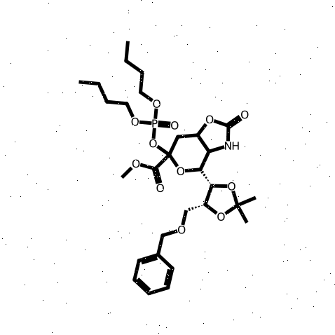 CCCCOP(=O)(OCCCC)OC1(C(=O)OC)CC2OC(=O)NC2C([C@@H]2OC(C)(C)O[C@@H]2COCc2ccccc2)O1